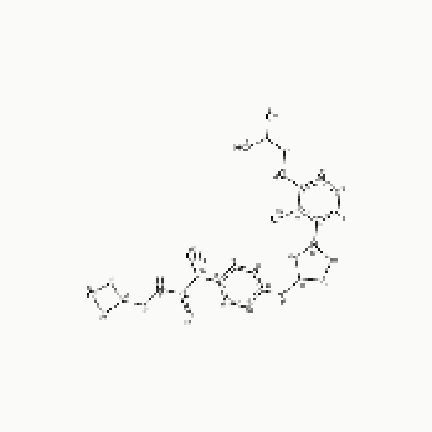 CC(O)COc1ncnc(N2CCC(Oc3ccc(C(C)C(=O)NCC4COC4)cc3)C2)c1Cl